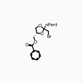 CCCCC[C@]1(CBr)OC[C@@H](COC(=O)c2ccccc2)O1